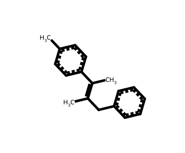 CC(Cc1ccccc1)=C(C)c1ccc(C)cc1